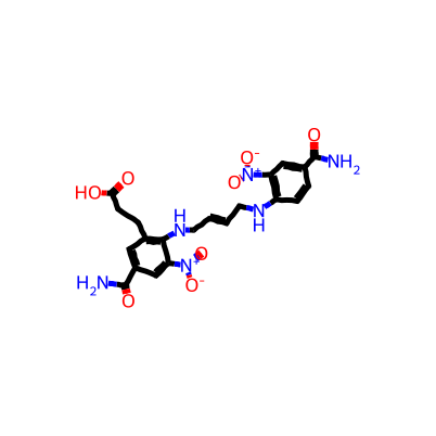 NC(=O)c1ccc(NCC=CCNc2c(CCC(=O)O)cc(C(N)=O)cc2[N+](=O)[O-])c([N+](=O)[O-])c1